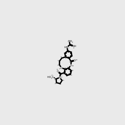 N=C(N)Nc1ccc2c(c1)CCCOc1c(cccc1C(=O)N1CCC[C@H]1C(=O)O)OC2=O